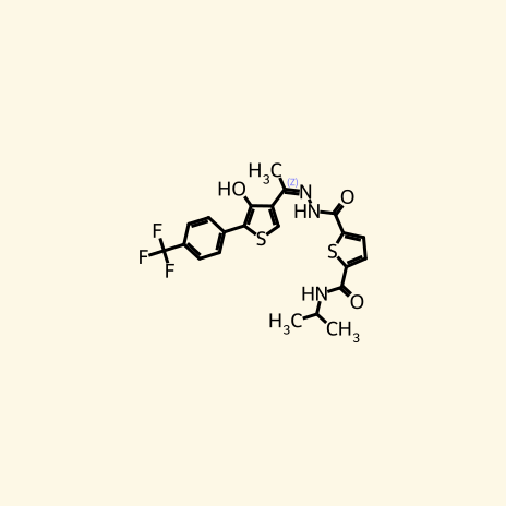 C/C(=N/NC(=O)c1ccc(C(=O)NC(C)C)s1)c1csc(-c2ccc(C(F)(F)F)cc2)c1O